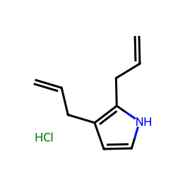 C=CCc1cc[nH]c1CC=C.Cl